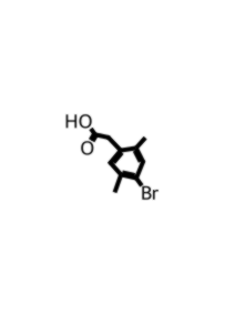 Cc1cc(CC(=O)O)c(C)cc1Br